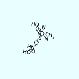 CCc1c(C#N)c(SCc2ccc(CNC(=O)CO)cc2)nc(N2CCC(O)C2)c1C#N